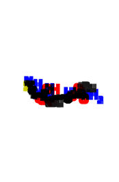 Cc1ncsc1-c1ccc(C2(NC(=O)[C@@H]3C[C@@H](O)CN3C(=O)[C@@H](NC(=O)CCCCCc3cccc(OC[C@H](CCC(N)=O)NC(=O)OC(C)(C)C)c3)C(C)(C)C)CC2)cc1